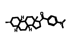 C[C@H]1CC[C@@H]2C3CC[C@@]4(C)C(CC[C@@H]4C(=O)c4ccc(N(C)C)cc4)[C@@H]3CC[C@@H]2C1